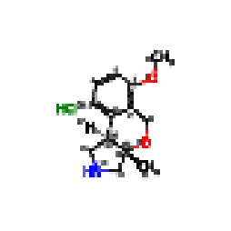 COc1cccc2c1CO[C@]1(C)CNC[C@@H]21.Cl